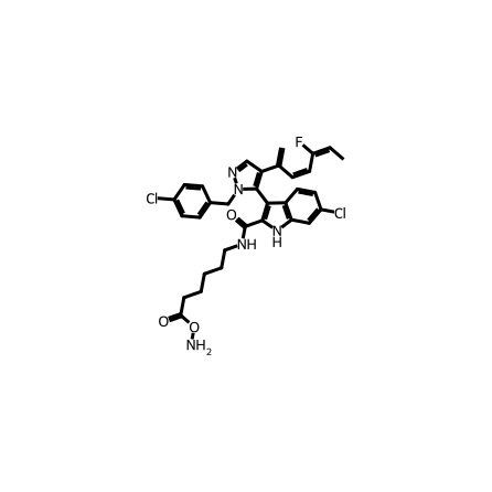 C=C(/C=C\C(F)=C/C)c1cnn(Cc2ccc(Cl)cc2)c1-c1c(C(=O)NCCCCCC(=O)ON)[nH]c2cc(Cl)ccc12